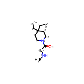 BNBC(=O)N1CCC(CC(C)C)(CC(C)C)CC1